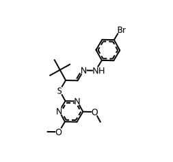 COc1cc(OC)nc(SC(C=NNc2ccc(Br)cc2)C(C)(C)C)n1